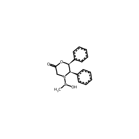 CB(O)N1CC(=O)O[C@@H](c2ccccc2)[C@H]1c1ccccc1